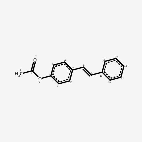 CC(=O)Oc1ccc(/C=C/c2ccccc2)cc1